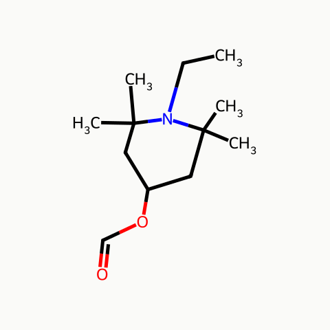 CCN1C(C)(C)CC(OC=O)CC1(C)C